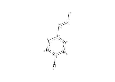 CC=Cc1cnc(Cl)nc1